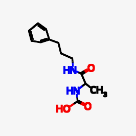 CC(NC(=O)O)C(=O)NCCCc1ccccc1